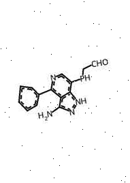 Nc1n[nH]c2c(PCC=O)cnc(-c3ccccc3)c12